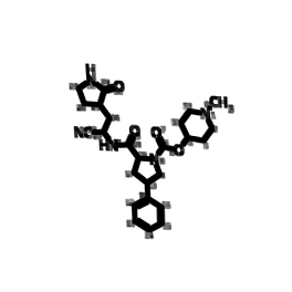 CN1CCC(OC(=O)N2CC(c3ccccc3)CC2C(=O)NC(C#N)CC2CCNC2=O)CC1